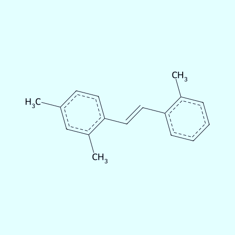 Cc1ccc(C=Cc2ccccc2C)c(C)c1